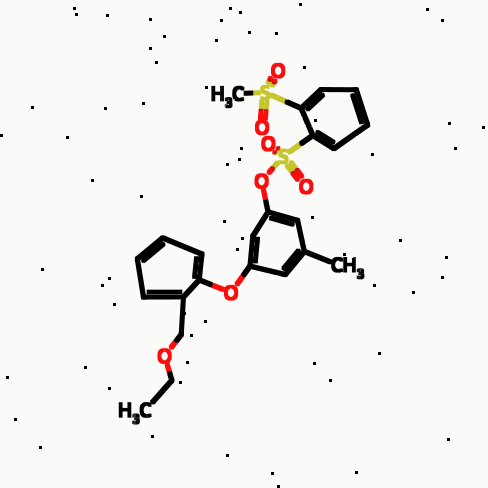 CCOCc1ccccc1Oc1cc(C)cc(OS(=O)(=O)c2ccccc2S(C)(=O)=O)c1